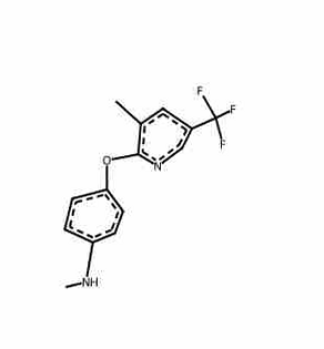 CNc1ccc(Oc2ncc(C(F)(F)F)cc2C)cc1